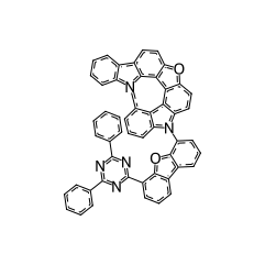 c1ccc(-c2nc(-c3ccccc3)nc(-c3cccc4c3oc3c(-n5c6ccc7oc8ccc9c%10ccccc%10n%10c%11cccc5c%11c6c7c8c9%10)cccc34)n2)cc1